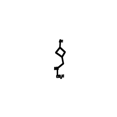 CC(=O)C1CC(CNC(=O)O)C1